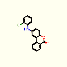 O=c1oc2ccc(Nc3ccccc3Cl)cc2c2ccccc12